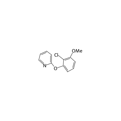 COc1cccc(Oc2ccccn2)c1Cl